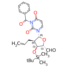 C=CC[C@@H]1[C@H](O[Si](C)(C)C(C)(C)C)[C@@H](C=O)O[C@H]1n1ccc(=O)n(C(=O)c2ccccc2)c1=O